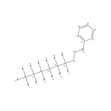 FC(F)(F)C(F)(F)C(F)(F)C(F)(F)C(F)(F)C(F)(F)CCOc1cc[c]cc1